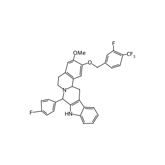 COc1cc2c(cc1OCc1ccc(C(F)(F)F)c(F)c1)C1Cc3c([nH]c4ccccc34)C(c3ccc(F)cc3)N1CC2